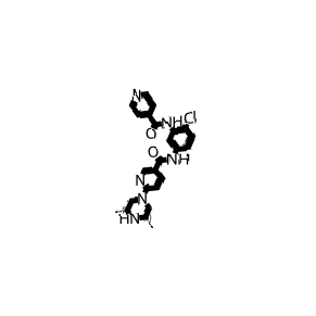 C[C@@H]1CN(c2ccc(C(=O)Nc3ccc(Cl)c(NC(=O)c4ccncc4)c3)cn2)C[C@H](C)N1